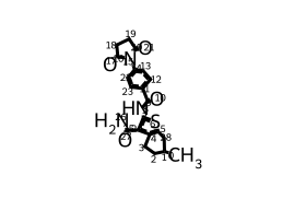 CC1CCc2c(sc(NC(=O)c3ccc(N4C(=O)CCC4=O)cc3)c2C(N)=O)C1